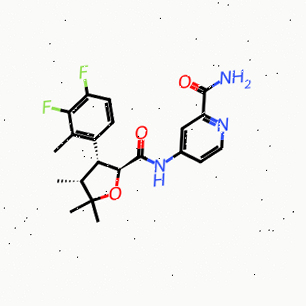 Cc1c([C@@H]2[C@@H](C(=O)Nc3ccnc(C(N)=O)c3)OC(C)(C)[C@@H]2C)ccc(F)c1F